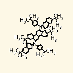 CC(C)c1ccc(N(c2ccc3cc(C(C)C)ccc3c2)c2cc3c4ccc(C(C)C)cc4c(N(c4ccc(C(C)C)cc4)c4ccc5cc(C(C)C)ccc5c4)cc3c3ccc(C(C)C)cc23)cc1